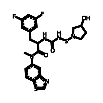 CN(C(=O)C(Cc1cc(F)cc(F)c1)NC(=O)NSN1CCC(O)C1)c1ccc2scnc2c1